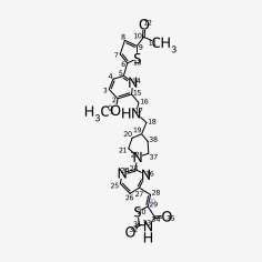 COc1ccc(-c2ccc(C(C)=O)s2)nc1CNCC1CCN(c2nccc(/C=C3\SC(=O)NC3=O)n2)CC1